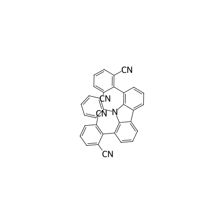 N#Cc1cccc(C#N)c1-c1cccc2c3cccc(-c4c(C#N)cccc4C#N)c3n(-c3ccccc3)c12